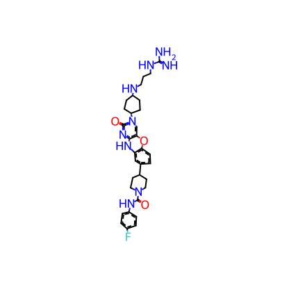 N=C(N)NCCCN[C@H]1CC[C@@H](n2cc3c(nc2=O)Nc2cc(C4CCN(C(=O)Nc5ccc(F)cc5)CC4)ccc2O3)CC1